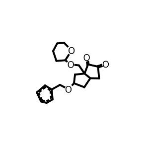 O=C1CC2CC(OCc3ccccc3)CC2(COC2CCCCO2)C1=O